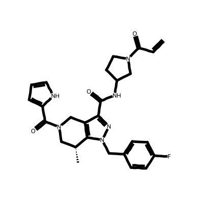 C=CC(=O)N1CCC(NC(=O)c2nn(Cc3ccc(F)cc3)c3c2CN(C(=O)c2ccc[nH]2)C[C@H]3C)C1